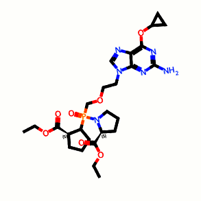 CCOC(=O)[C@@H]1CCCC1P(=O)(COCCn1cnc2c(OC3CC3)nc(N)nc21)N1CCC[C@H]1C(=O)OCC